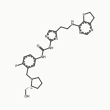 O=C(Nc1ccc(F)c(CN2CCC[C@@H]2CO)c1)Nc1ncc(CCNc2ncnc3c2SCC3)s1